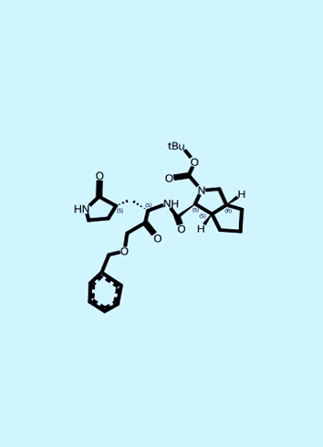 CC(C)(C)OC(=O)N1C[C@@H]2CCC[C@@H]2[C@H]1C(=O)N[C@@H](C[C@@H]1CCNC1=O)C(=O)COCc1ccccc1